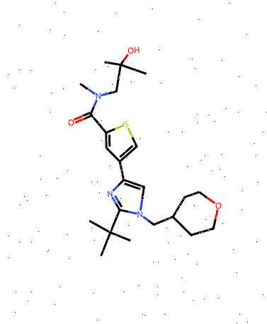 CN(CC(C)(C)O)C(=O)c1cc(-c2cn(CC3CCOCC3)c(C(C)(C)C)n2)cs1